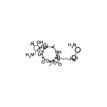 CC[C@H]1OC(=O)[C@H](C)C(=O)[C@H](C)[C@@H](O[C@@H]2OC(CN)CC(N(C)C)C2O)[C@](C)(OC)C[C@@H](C)CN[C@H](C)[C@H]2N(CCCCn3cc(-c4cccc(N)c4)nn3)C(=O)O[C@]12C